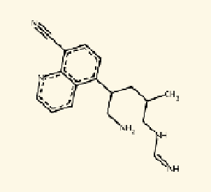 CC(CNC=N)CC(CN)c1ccc(C#N)c2ncccc12